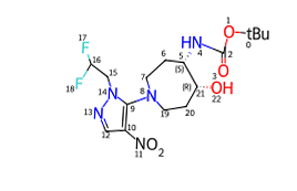 CC(C)(C)OC(=O)N[C@H]1CCN(c2c([N+](=O)[O-])cnn2CC(F)F)CC[C@H]1O